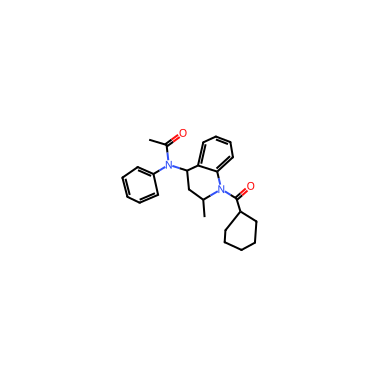 CC(=O)N(c1ccccc1)C1CC(C)N(C(=O)C2CCCCC2)c2ccccc21